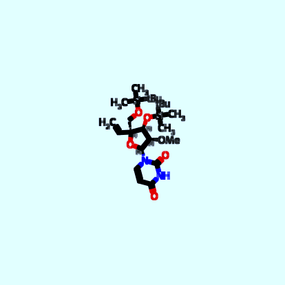 C=C[C@]1(CO[Si](C)(C)C(C)(C)C)O[C@@H](n2ccc(=O)[nH]c2=O)[C@H](OC)[C@@H]1O[Si](C)(C)C(C)(C)C